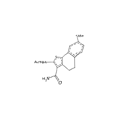 CSc1ccc2c(c1)-c1sc(NC(C)=O)c(C(N)=O)c1CC2